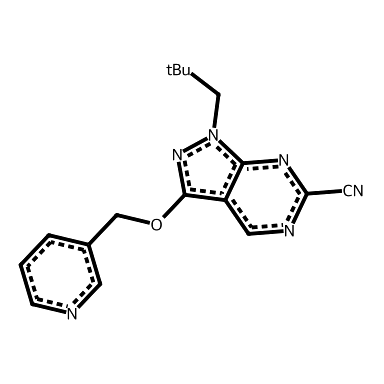 CC(C)(C)Cn1nc(OCc2cccnc2)c2cnc(C#N)nc21